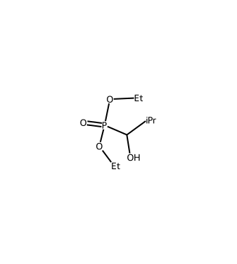 CCOP(=O)(OCC)C(O)C(C)C